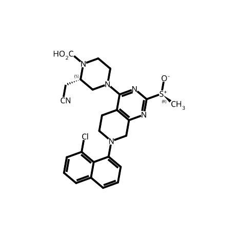 C[S@+]([O-])c1nc2c(c(N3CCN(C(=O)O)[C@@H](CC#N)C3)n1)CCN(c1cccc3cccc(Cl)c13)C2